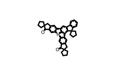 O=C1c2cc3c(cc2CC12CCCC2)c1cc2c(c4c5cc6c(cc5n3c14)C(=O)C1(CCCC1)C6)C1(CCCC1)c1ccccc1-2